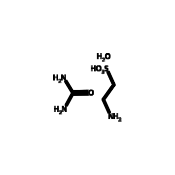 NC(N)=O.NCCS(=O)(=O)O.O